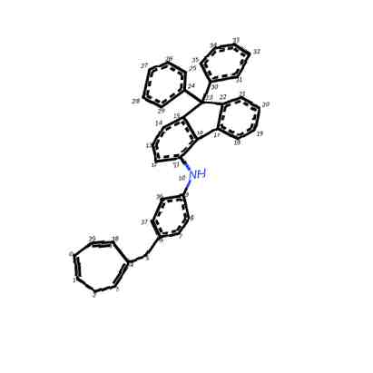 C1=CCC=C(Cc2ccc(Nc3cccc4c3-c3ccccc3C4(c3ccccc3)c3ccccc3)cc2)C=C1